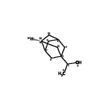 CC(O)C12CC3CC(C1)[C@@H](C3)C2